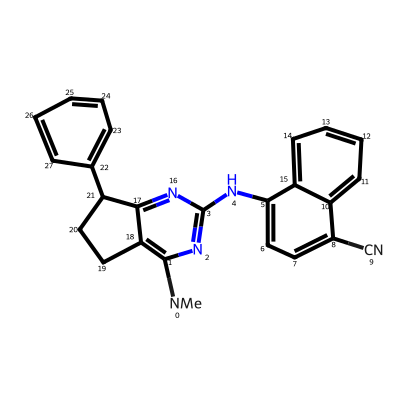 CNc1nc(Nc2ccc(C#N)c3ccccc23)nc2c1CCC2c1ccccc1